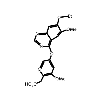 CCOc1cc2ncnc(Oc3cnc(CC(=O)O)c(OC)c3)c2cc1OC